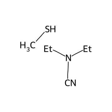 CCN(C#N)CC.CS